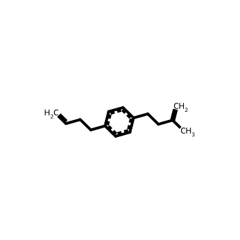 C=CCCc1ccc(CCC(=C)C)cc1